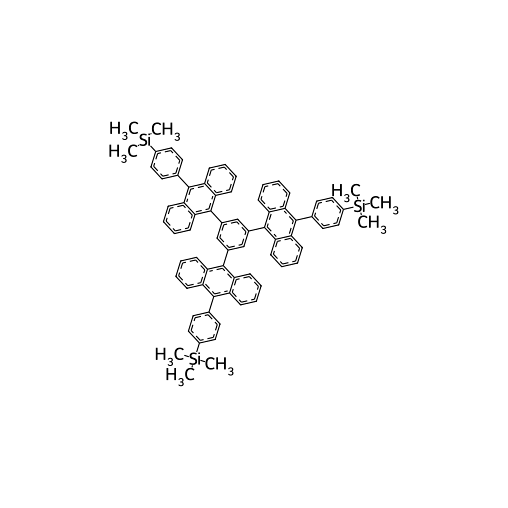 C[Si](C)(C)c1ccc(-c2c3ccccc3c(-c3cc(-c4c5ccccc5c(-c5ccc([Si](C)(C)C)cc5)c5ccccc45)cc(-c4c5ccccc5c(-c5ccc([Si](C)(C)C)cc5)c5ccccc45)c3)c3ccccc23)cc1